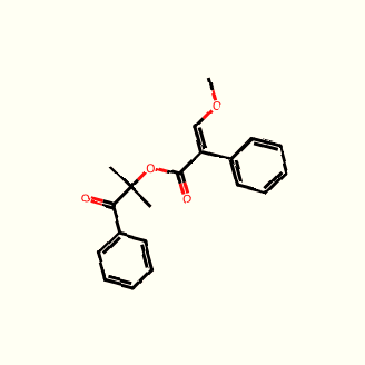 COC=C(C(=O)OC(C)(C)C(=O)c1ccccc1)c1ccccc1